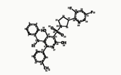 CCN(c1ccccc1)c1c(-c2cccc(C)c2)nc(O)c(S(=O)(=O)N2CCC(c3ncc(F)cc3F)C2)c1O